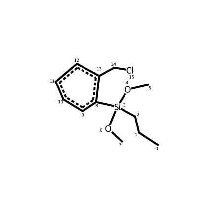 CCC[Si](OC)(OC)c1ccccc1CCl